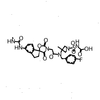 CNC(=O)Nc1ccc2c(c1)CC[C@]21OC(=O)N(CC(=O)N(Cc2ccc(F)cc2)C2(C)CN(S(=O)(=O)NC(=O)O)C2)C1=O